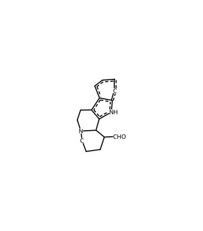 O=CC1CCCN2CCc3c([nH]c4ccccc34)C12